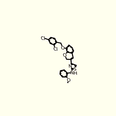 COc1ccccc1Nc1nc(C2=Cc3cccc(OCc4ccc(Cl)cc4Cl)c3OC2)cs1